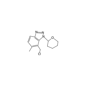 Cc1ccc2nnn(C3CCCCO3)c2c1CCl